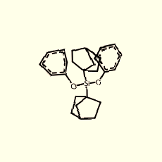 c1ccc(O[Si](Oc2ccccc2)(C23CCC(CC2)C3)C23CCC(CC2)C3)cc1